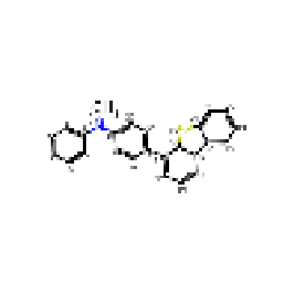 CN(c1ccccc1)c1ccc(C2=CC=CC3c4ccccc4SC23)cc1